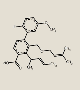 C/C=C/C(C)c1c(C(=O)O)ccc(-c2cc(OC)ccc2F)c1COCC=C(C)C